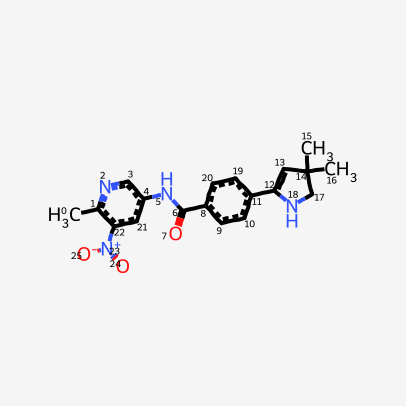 Cc1ncc(NC(=O)c2ccc(C3=CC(C)(C)CN3)cc2)cc1[N+](=O)[O-]